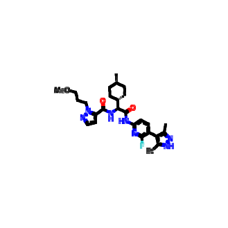 CCc1[nH]nc(C)c1-c1ccc(NC(=O)[C@@H](NC(=O)c2ccnn2CCCOC)[C@H]2CC[C@H](C)CC2)nc1F